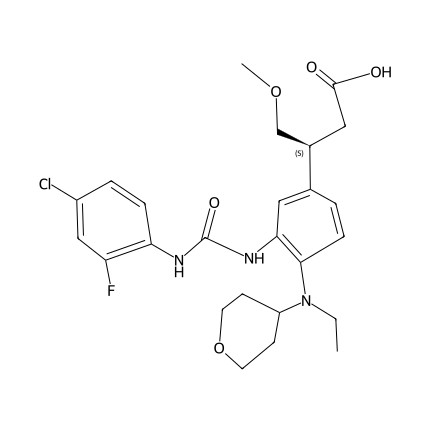 CCN(c1ccc([C@@H](COC)CC(=O)O)cc1NC(=O)Nc1ccc(Cl)cc1F)C1CCOCC1